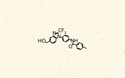 Cc1ccc(C(=O)Nc2ccc(-n3c(C(F)(F)F)nc4cc(CO)ccc43)cc2)cc1